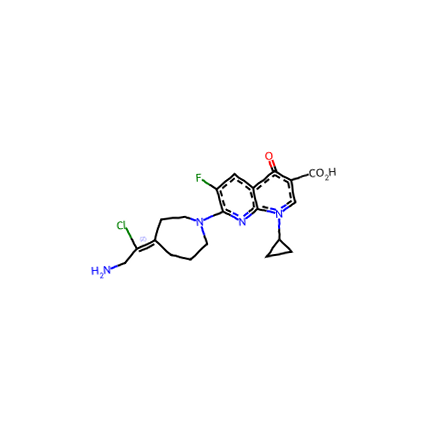 NC/C(Cl)=C1\CCCN(c2nc3c(cc2F)c(=O)c(C(=O)O)cn3C2CC2)CC1